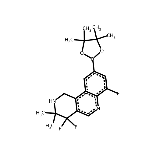 CC1(C)NCc2c(cnc3c(F)cc(B4OC(C)(C)C(C)(C)O4)cc23)C1(F)F